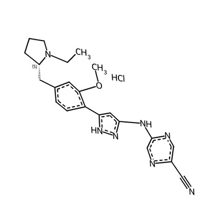 CCN1CCC[C@H]1Cc1ccc(-c2cc(Nc3cnc(C#N)cn3)n[nH]2)c(OC)c1.Cl